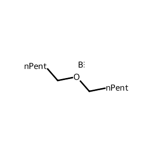 CCCCCCOCCCCCC.[B]